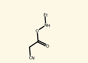 CCNOC(=O)CC#N